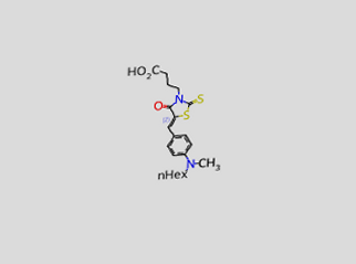 CCCCCCN(C)c1ccc(/C=C2\SC(=S)N(CCCC(=O)O)C2=O)cc1